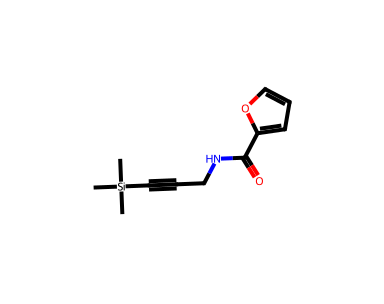 C[Si](C)(C)C#CCNC(=O)c1ccco1